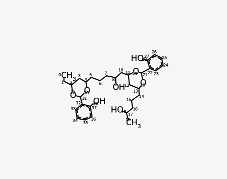 CCC1CC(CCCC(O)CC2CC(CCCC(C)O)OC(c3ccccc3O)O2)OC(c2ccccc2O)O1